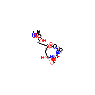 CC[C@H]1C[C@@H]2CC3=C[C@@H](C)[C@H](C[C@H](O)[C@@H](C)CC/C=C/C=C(\C)[C@@H]4C/C=C/C=C/[C@H](O)[C@H](C)[C@@H](O)[C@@H](CCC(C)=O)C(=O)N[C@@H](C(C)C)C(=O)NC(c5ccccc5)C(=O)N5CCCC(N5)C(=O)O4)O[C@@]32NC1=O